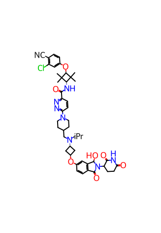 CC(C)N(CC1CCN(c2ccc(C(=O)N[C@H]3C(C)(C)[C@H](Oc4ccc(C#N)c(Cl)c4)C3(C)C)nn2)CC1)[C@H]1C[C@H](Oc2ccc3c(c2)C(O)N(C2CCC(=O)NC2=O)C3=O)C1